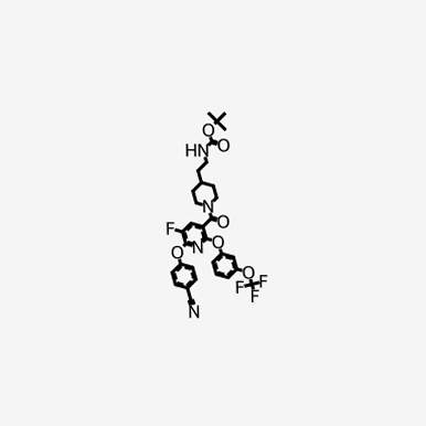 CC(C)(C)OC(=O)NCCC1CCN(C(=O)c2cc(F)c(Oc3ccc(C#N)cc3)nc2Oc2cccc(OC(F)(F)F)c2)CC1